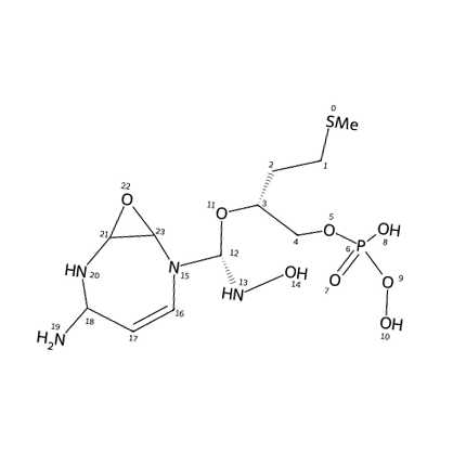 CSCC[C@H](COP(=O)(O)OO)O[C@H](NO)N1C=CC(N)NC2OC21